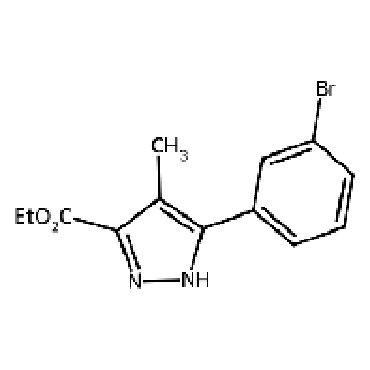 CCOC(=O)c1n[nH]c(-c2cccc(Br)c2)c1C